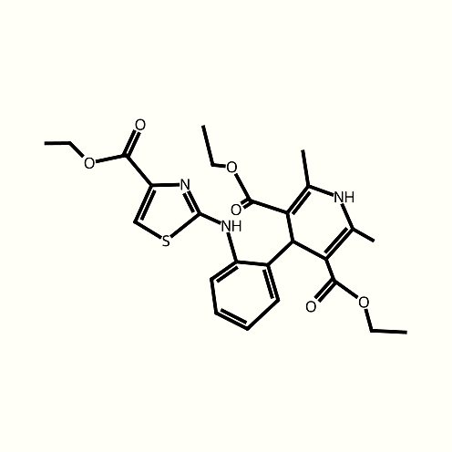 CCOC(=O)C1=C(C)NC(C)=C(C(=O)OCC)C1c1ccccc1Nc1nc(C(=O)OCC)cs1